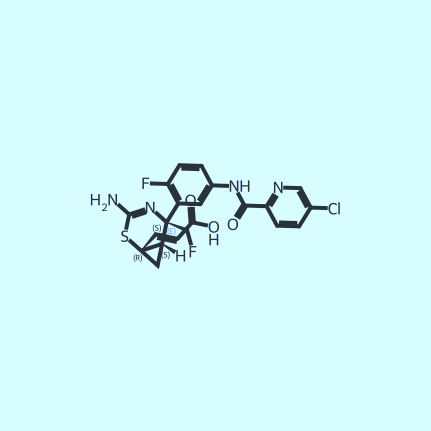 NC1=N[C@](CF)(c2cc(NC(=O)c3ccc(Cl)cn3)ccc2F)[C@@H]2C[C@]2(/C=C/C(=O)O)S1